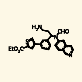 CCOC(=O)c1cc(-c2cccc(C(CCN)N(C=O)c3ccc4cnccc4c3)c2)cs1